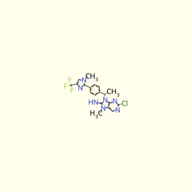 CC(c1ccc(-c2nc(C(F)(F)F)cn2C)cc1)n1c(=N)n(C)c2cnc(Cl)nc21